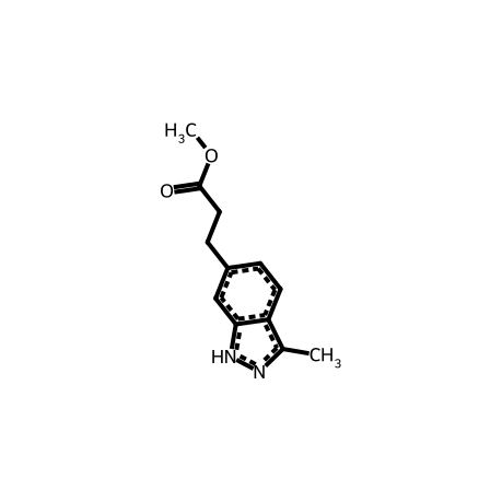 COC(=O)CCc1ccc2c(C)n[nH]c2c1